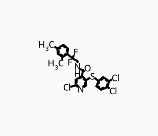 Cc1ccc(C(F)(F)CNC(=O)c2cc(Cl)ncc2Sc2ccc(Cl)c(Cl)c2)c(C)c1